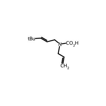 C=CCN(CC=CC(C)(C)C)C(=O)O